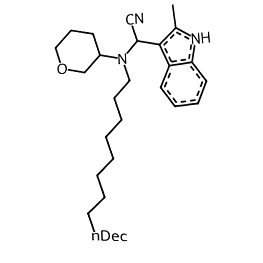 CCCCCCCCCCCCCCCCCCN(C1CCCOC1)C(C#N)c1c(C)[nH]c2ccccc12